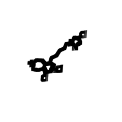 CN1CCc2c(Cl)ccc(CCCCCn3cc(Cl)cn3)c2CC1.Cl